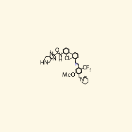 COc1cc(/C=C/c2cccc(-c3cccc(NC(=O)c4nc5c(n4C)CCNC5)c3Cl)c2C)c(C(F)(F)F)cc1CN1CCCC[C@H]1C